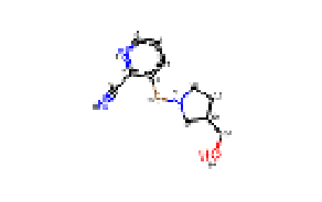 N#Cc1ncccc1SN1CCC(CO)C1